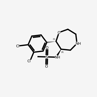 CS(=O)(=O)N[C@@H]1CNCCO[C@H]1c1ccc(Cl)c(Cl)c1